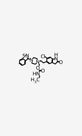 CCNC(=O)OC[N+]1(CCc2cc3c(cc2Cl)NC(=O)C3)CCN(c2nsc3ccccc23)CC1